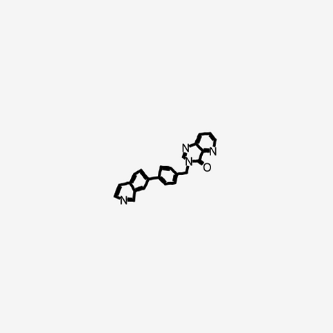 O=c1c2ncccc2ncn1Cc1ccc(-c2ccc3ccncc3c2)cc1